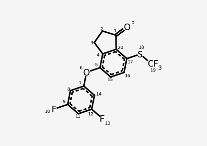 O=C1CCc2c(Oc3cc(F)cc(F)c3)ccc(SC(F)(F)F)c21